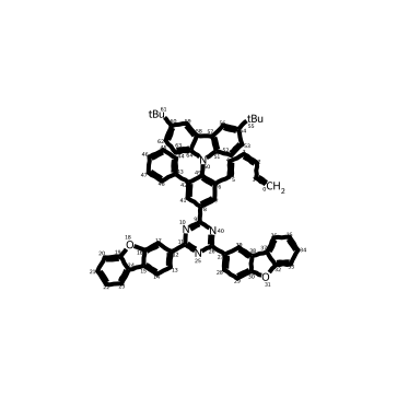 C=C/C=C\C=C\c1cc(-c2nc(-c3ccc4c(c3)oc3ccccc34)nc(-c3ccc4oc5ccccc5c4c3)n2)cc(-c2ccccc2)c1-n1c2ccc(C(C)(C)C)cc2c2cc(C(C)(C)C)ccc21